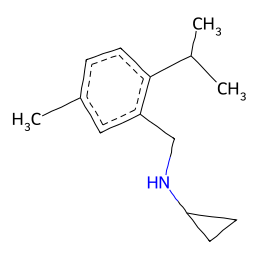 Cc1ccc(C(C)C)c(CNC2CC2)c1